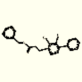 O=C(CCc1ccc(-c2ccccc2)c(Cl)c1Cl)OCc1ccccc1